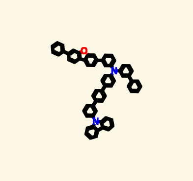 c1ccc(-c2cccc(N(c3ccc(-c4ccc(-c5cccc(-n6c7ccccc7c7ccccc76)c5)cc4)cc3)c3cccc(-c4ccc5c(c4)oc4cc(-c6ccccc6)ccc45)c3)c2)cc1